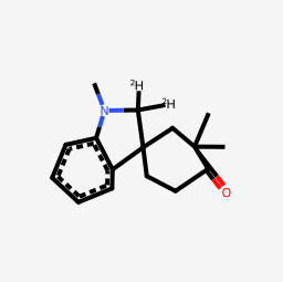 [2H]C1([2H])N(C)c2ccccc2C12CCC(=O)C(C)(C)C2